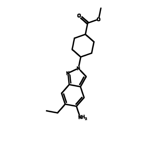 CCc1cc2nn(C3CCC(C(=O)OC)CC3)cc2cc1N